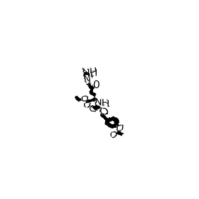 CCOC(=O)[C@H](CCC(=O)C=[N+]=N)NC(=O)OCc1ccc(OC(C)=O)cc1